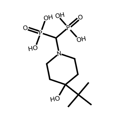 CC(C)(C)C1(O)CCN(C(P(=O)(O)O)P(=O)(O)O)CC1